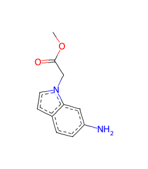 COC(=O)Cn1ccc2ccc(N)cc21